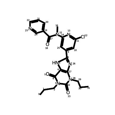 CCCn1c(=O)c2[nH]c(-c3cc(Cl)nc(N(C)C(=O)c4cccnc4)c3)nc2n(CCC)c1=O